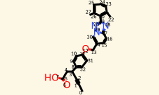 CC#CC(CC(=O)O)c1ccc(OCc2ccc3nc(-c4c(C)cccc4C)nn3c2)cc1